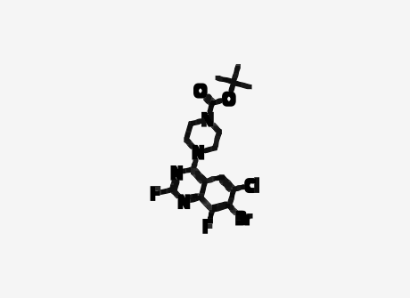 CC(C)(C)OC(=O)N1CCN(c2nc(F)nc3c(F)c(Br)c(Cl)cc23)CC1